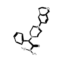 CN(C)C(=O)C(c1ccccc1)N1CCN(c2ccc3c(c2)CCO3)CC1